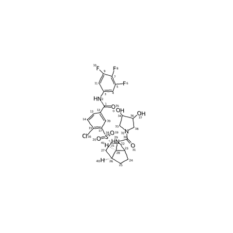 O=C(Nc1cc(F)c(F)c(F)c1)c1ccc(Cl)c(S(=O)(=O)[C@@H]2CC3CC[C@@H](C2)[C@H]3NC(=O)N2CC(O)C(O)C2)c1